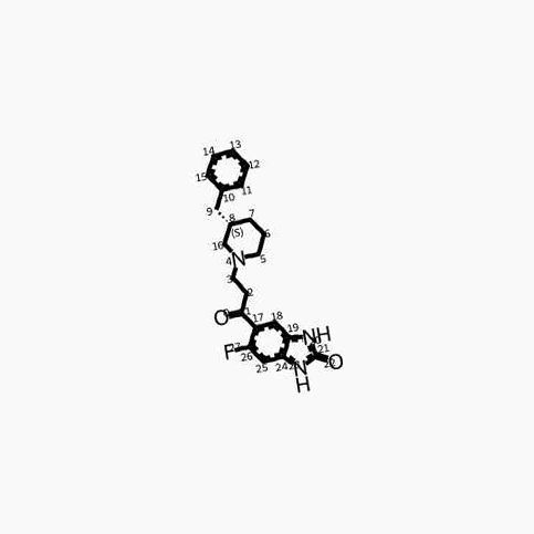 O=C(CCN1CCC[C@@H](Cc2ccccc2)C1)c1cc2[nH]c(=O)[nH]c2cc1F